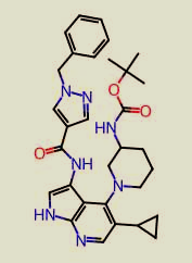 CC(C)(C)OC(=O)NC1CCCN(c2c(C3CC3)cnc3[nH]cc(NC(=O)c4cnn(Cc5ccccc5)c4)c23)C1